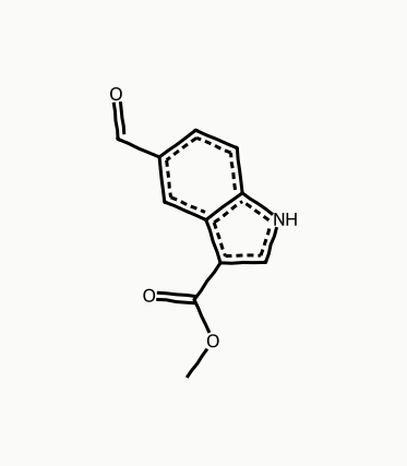 COC(=O)c1c[nH]c2ccc(C=O)cc12